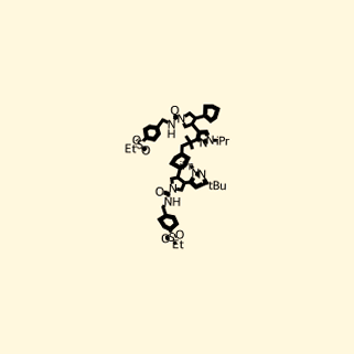 CCS(=O)(=O)c1ccc(CNC(=O)N2CC(c3ccccc3)C(c3cn(C(C)C)nc3C(C)(C)Cc3ccc(C4CN(C(=O)NCc5ccc(S(=O)(=O)CC)cc5)CC4c4cc(C(C)(C)C)nn4C(C)C)cc3)C2)cc1